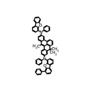 Cc1c2c3c(cccc3c3cc(N(c4ccccc4)c4cccc5c4oc4ccccc45)ccc13)C(C)(C)c1cc(N(c3ccccc3)c3cccc4c3oc3c(-c5ccccc5)cccc34)ccc1-2